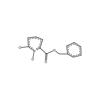 O=C(OCc1ccccc1)c1cccc(Cl)[n+]1[O-]